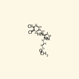 COCC=CCn1nccc1NCc1ccc(Cl)c(Cl)c1